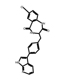 O=C1NC(Cc2ccc(-c3c[nH]c4ncccc34)cc2)C(=O)Nc2ccc(Cl)cc21